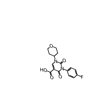 O=C(O)c1cn(C2CCOCC2)c(=O)n(-c2ccc(F)cc2)c1=O